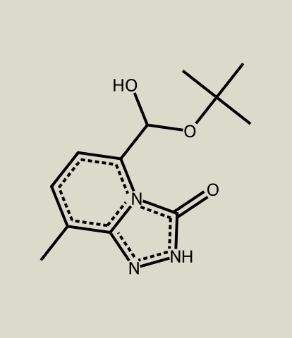 Cc1ccc(C(O)OC(C)(C)C)n2c(=O)[nH]nc12